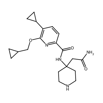 NC(=O)CC1(NC(=O)c2ccc(C3CC3)c(OCC3CC3)n2)CCNCC1